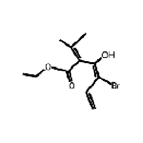 C=C/C(Br)=C(/O)C(C(=O)OCC)=C(C)C